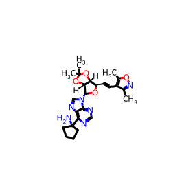 Cc1noc(C)c1C=C[C@H]1O[C@@H](n2cnc3c(C4(N)CCCC4)ncnc32)[C@@H]2OC(C)(C)O[C@@H]21